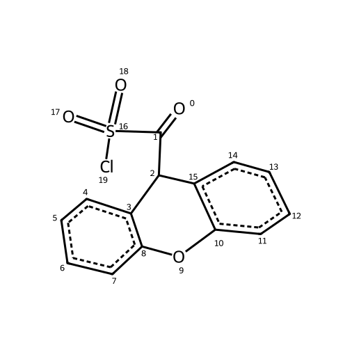 O=C(C1c2ccccc2Oc2ccccc21)S(=O)(=O)Cl